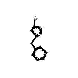 Oc1cc(Cc2ccccc2)on1